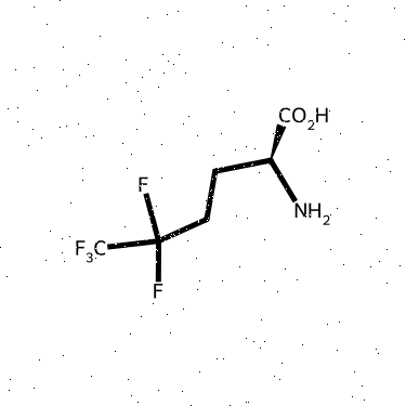 N[C@@H](CCC(F)(F)C(F)(F)F)C(=O)O